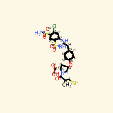 C[C@H](CS)C(=O)N1CC(Oc2ccc(CC3Nc4cc(Cl)c(S(N)(=O)=O)cc4S(=O)(=O)N3)cc2)C[C@H]1C(=O)O